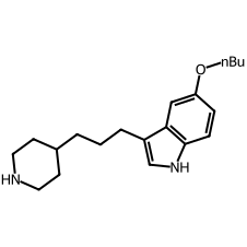 CCCCOc1ccc2[nH]cc(CCCC3CCNCC3)c2c1